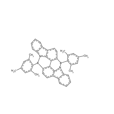 Cc1cc(C)c(B2c3ccc4c5ccccc5n5c4c3-c3c(ccc4c6ccccc6n2c34)B5c2c(C)cc(C)cc2C)c(C)c1